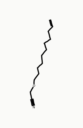 C=CCCCCCCCCCOCC#N